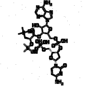 CC(C)(C)[Si](C)(C)O[C@@H](CS(C)(C)C(C)(C)C)C(=O)OC1C(COP(=O)(O)O[C@H]2C[C@H](n3ccc(N)nc3=O)O[C@@H]2COP(=O)(O)O)OC(n2cnc3c(N)ncnc32)C1O